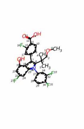 COCC(C)(C)c1c(-c2ccc(C(=O)O)c(F)c2)c2c(O)cc(F)cc2n1-c1ccc(F)c(F)c1